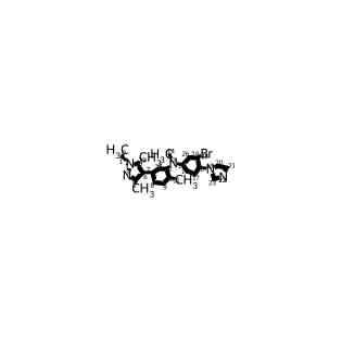 CCn1nc(C)c(-c2ccc(C)c(N(C)c3ccc(-n4ccnc4)c(Br)c3)c2)c1C